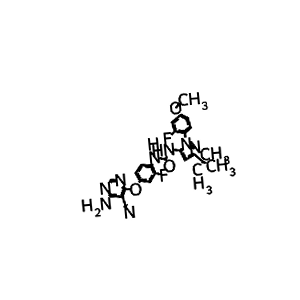 COc1ccc(-n2nc(C(C)(C)C)cc2NC(=O)Nc2ccc(Oc3ncnc(N)c3C#N)cc2F)c(F)c1